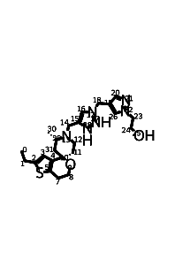 CCc1cc2c(s1)CCO[C@@]21CCN(CC2=CN(Cc3cnn(CCO)c3)NN2)[C@@H](C)C1